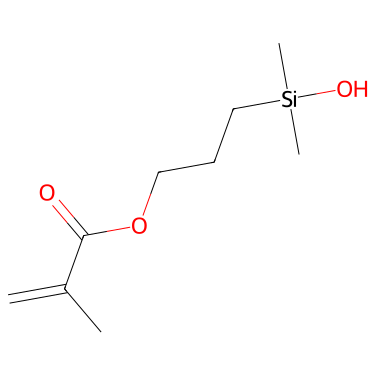 C=C(C)C(=O)OCCC[Si](C)(C)O